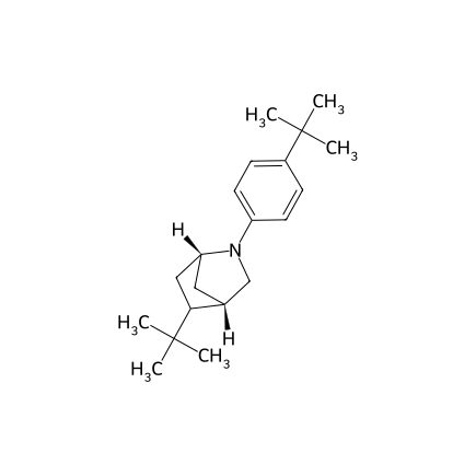 CC(C)(C)c1ccc(N2C[C@H]3C[C@@H]2CC3C(C)(C)C)cc1